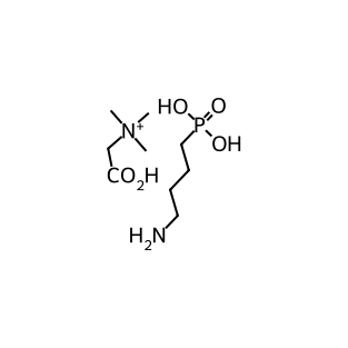 C[N+](C)(C)CC(=O)O.NCCCCP(=O)(O)O